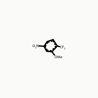 COc1cc([N+](=O)[O-])ccc1C(F)(F)F